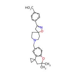 CC1(C)CC2(CC2)c2cc(CN3CCC4(CC3)CC(c3ccc(C(=O)O)cc3)=NO4)ccc2O1